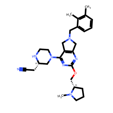 Cc1cccc(CN2Cc3nc(OC[C@@H]4CCCN4C)nc(N4CCN[C@@H](CC#N)C4)c3C2)c1C